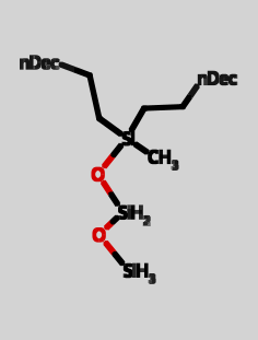 CCCCCCCCCCCC[Si](C)(CCCCCCCCCCCC)O[SiH2]O[SiH3]